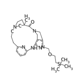 CC12CCN(CCCc3cccc(n3)Nc3nn(COCC[Si](C)(C)C)c4c3CN(C4)C1=O)C2